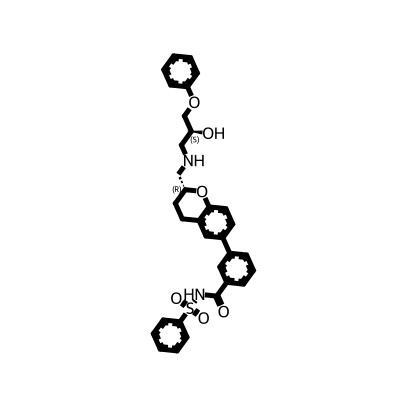 O=C(NS(=O)(=O)c1ccccc1)c1cccc(-c2ccc3c(c2)CC[C@H](CNC[C@H](O)COc2ccccc2)O3)c1